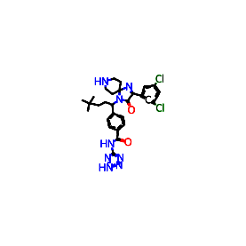 CC(C)(C)CCC(c1ccc(C(=O)Nc2nn[nH]n2)cc1)N1C(=O)C(c2cc(Cl)cc(Cl)c2)=NC12CCNCC2